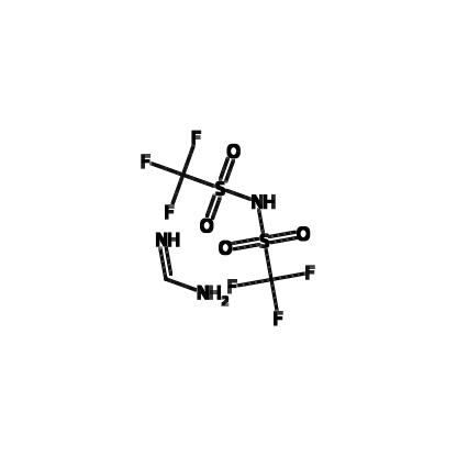 N=CN.O=S(=O)(NS(=O)(=O)C(F)(F)F)C(F)(F)F